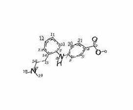 COC(=O)c1ccc(Nc2ccccc2CCN(C)C)cc1